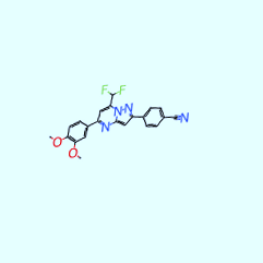 COc1ccc(-c2cc(C(F)F)n3nc(-c4ccc(C#N)cc4)cc3n2)cc1OC